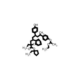 CCOC(C)Oc1ccc(C(C)CC(CC(CC(C)(CC)C(=O)OC2(CC)CCCC2)c2ccccc2)c2ccc(O)cc2)cc1